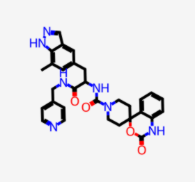 Cc1cc(CC(NC(=O)N2CCC3(CC2)OC(=O)Nc2ccccc23)C(=O)NCc2ccncc2)cc2cn[nH]c12